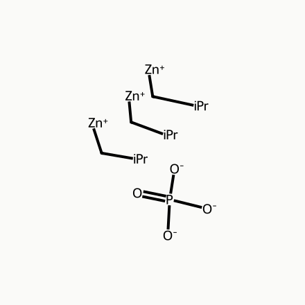 CC(C)[CH2][Zn+].CC(C)[CH2][Zn+].CC(C)[CH2][Zn+].O=P([O-])([O-])[O-]